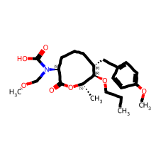 CCCO[C@@H]1[C@@H](Cc2ccc(OC)cc2)CCC[C@H](N(COC)C(=O)O)C(=O)O[C@H]1C